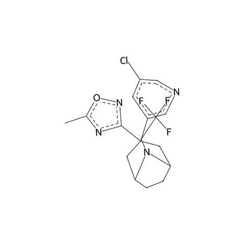 Cc1nc(C2(c3cncc(Cl)c3)CC3CCC(C2)N3CC(F)(F)F)no1